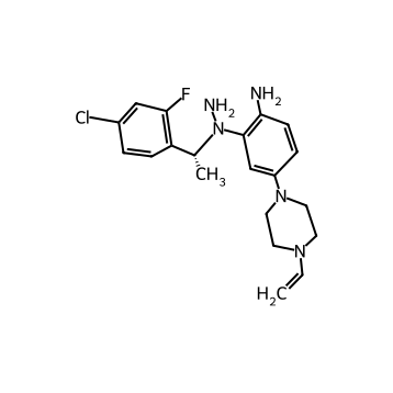 C=CN1CCN(c2ccc(N)c(N(N)[C@H](C)c3ccc(Cl)cc3F)c2)CC1